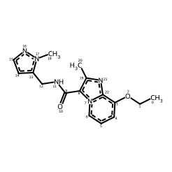 CCOc1cccn2c(C(=O)NCc3ccnn3C)c(C)nc12